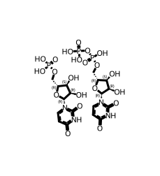 O=c1ccn([C@@H]2O[C@H](COP(=O)(O)O)[C@@H](O)[C@H]2O)c(=O)[nH]1.O=c1ccn([C@@H]2O[C@H](COP(=O)(O)OP(=O)(O)O)[C@@H](O)[C@H]2O)c(=O)[nH]1